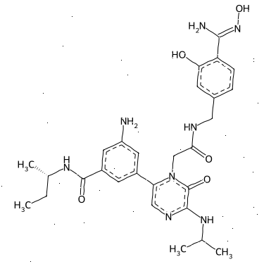 CC[C@H](C)NC(=O)c1cc(N)cc(-c2cnc(NC(C)C)c(=O)n2CC(=O)NCc2ccc(/C(N)=N/O)c(O)c2)c1